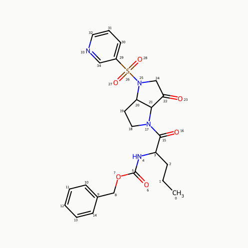 CCCC(NC(=O)OCc1ccccc1)C(=O)N1CCC2C1C(=O)CN2S(=O)(=O)c1cccnc1